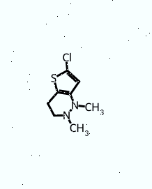 CN1CCc2sc(Cl)cc2N1C